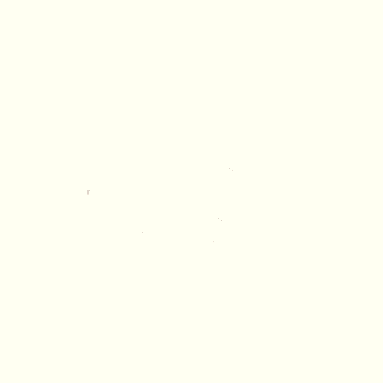 CN(C(=O)c1[nH]nc2c1CN(C(=O)C1Cc3ccccc3N1)CC2)C1(CCC(=O)O)CC1